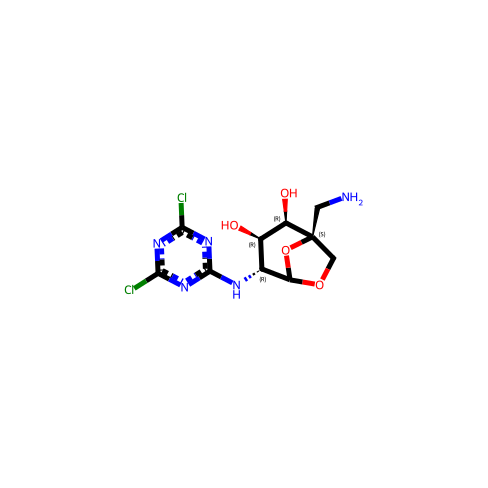 NC[C@@]12COC(O1)[C@H](Nc1nc(Cl)nc(Cl)n1)[C@@H](O)[C@H]2O